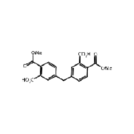 COC(=O)c1ccc(Cc2ccc(C(=O)OC)c(C(=O)O)c2)cc1C(=O)O